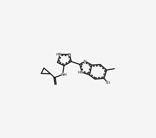 C=C(Nc1c[nH]nc1-c1nc2cc(C)c(CC)cc2[nH]1)C1CC1